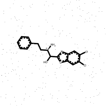 N[C@H](CCc1ccccc1)C(O)c1nc2cc(Cl)c(Cl)cc2o1